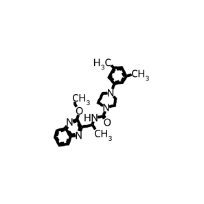 CCOc1nc2ccccc2nc1C(C)NC(=O)N1CCN(c2cc(C)cc(C)c2)CC1